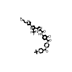 COCCn1cc(-n2cc(-c3cnc(C(=O)Nc4ccc(C(=O)N5CCN(C(=O)C6CCN(C(C)(C)C)CC6)CC5)c(Cl)c4)n3C)c(C(F)(F)F)n2)cn1